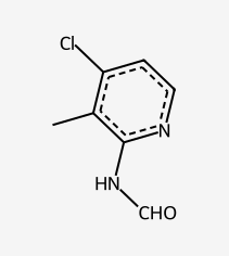 Cc1c(Cl)ccnc1NC=O